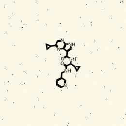 O=C(NC(C(=O)NCc1cccnc1)C1CC1)c1c[nH]c2ncc(C3CC3)nc12